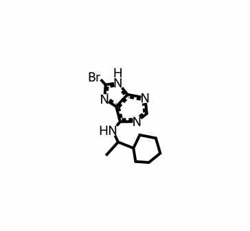 CC(Nc1ncnc2[nH]c(Br)nc12)C1CCCCC1